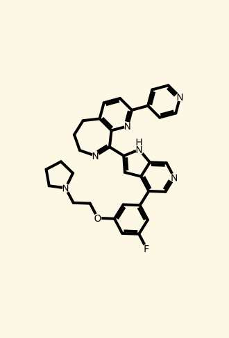 Fc1cc(OCCN2CCCC2)cc(-c2cncc3[nH]c(C4=NCCCc5ccc(-c6ccncc6)nc54)cc23)c1